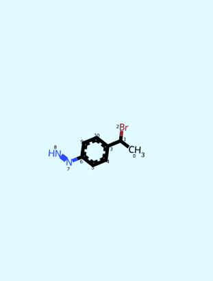 CC(Br)c1ccc(N=N)cc1